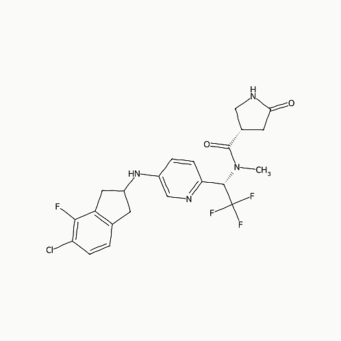 CN(C(=O)[C@@H]1CNC(=O)C1)[C@@H](c1ccc(NC2Cc3ccc(Cl)c(F)c3C2)cn1)C(F)(F)F